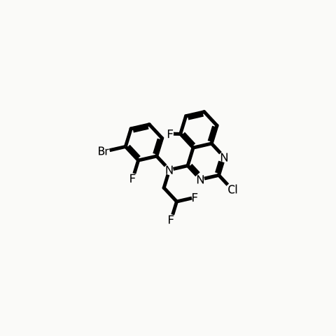 Fc1c(Br)cccc1N(CC(F)F)c1nc(Cl)nc2cccc(F)c12